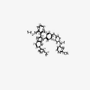 N#Cc1nccc(NC2CCN(Cc3ccc(-n4c(-c5nccnc5N)nc5ccc(-c6cn(CF)nn6)nc54)cc3)CC2)n1